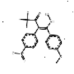 CSc1ccc(/C(NO)=C(/C(=O)C(F)(F)F)c2ccc([N+](=O)[O-])cc2)cc1